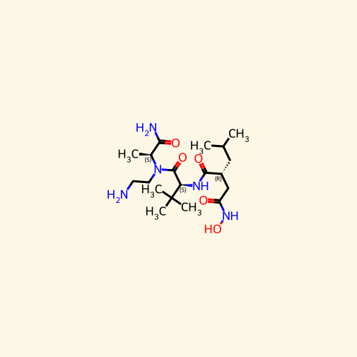 CC(C)C[C@H](CC(=O)NO)C(=O)N[C@H](C(=O)N(CCN)[C@@H](C)C(N)=O)C(C)(C)C